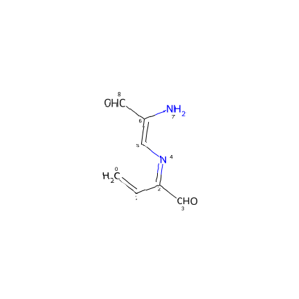 C=C/C(C=O)=N\C=C(/N)C=O